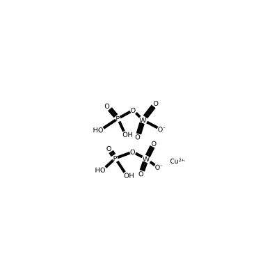 O=P(O)(O)[O][W](=[O])(=[O])[O-].O=P(O)(O)[O][W](=[O])(=[O])[O-].[Cu+2]